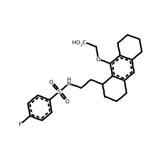 O=C(O)COc1c2c(cc3c1C(CCNS(=O)(=O)c1ccc(F)cc1)CCC3)CCCC2